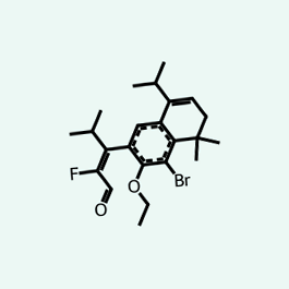 CCOc1c(/C(=C(/F)C=O)C(C)C)cc2c(c1Br)C(C)(C)CC=C2C(C)C